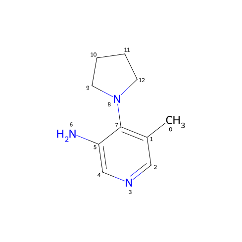 Cc1cncc(N)c1N1CCCC1